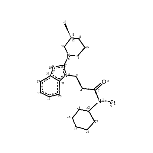 CCN(C(=O)CCn1c(N2CCC[C@H](C)C2)nc2ccccc21)C1CCCCC1